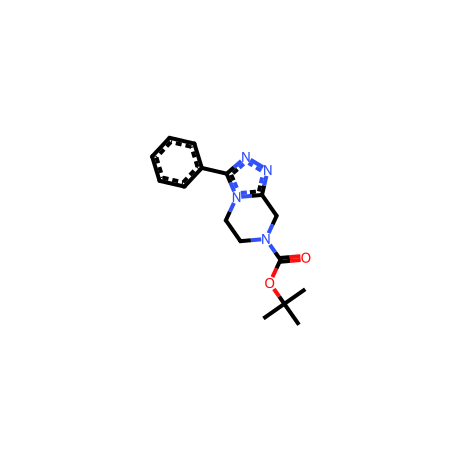 CC(C)(C)OC(=O)N1CCn2c(nnc2-c2ccccc2)C1